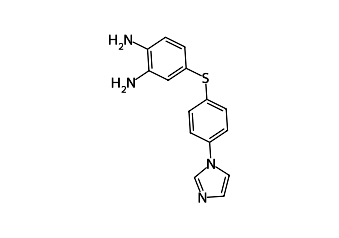 Nc1ccc(Sc2ccc(-n3ccnc3)cc2)cc1N